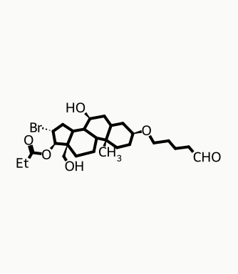 CCC(=O)O[C@H]1[C@H](Br)CC2C3C(CC[C@@]21CO)[C@@]1(C)CC[C@H](OCCCCC=O)CC1C[C@@H]3O